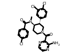 CN(C(=O)c1ccc(Cl)cc1)[C@@H]1CCN(C(=O)c2nccnc2N)C[C@H]1c1ccc(Cl)c(Cl)c1